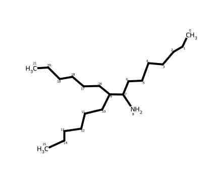 CCCCCCCC(N)C(CCCCCC)CCCCCC